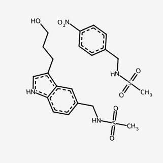 CS(=O)(=O)NCc1ccc([N+](=O)[O-])cc1.CS(=O)(=O)NCc1ccc2[nH]cc(CCCO)c2c1